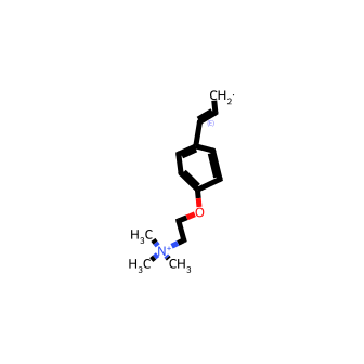 [CH2]/C=C/c1ccc(OCC[N+](C)(C)C)cc1